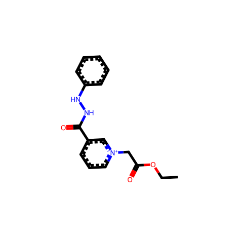 CCOC(=O)C[n+]1cccc(C(=O)NNc2ccccc2)c1